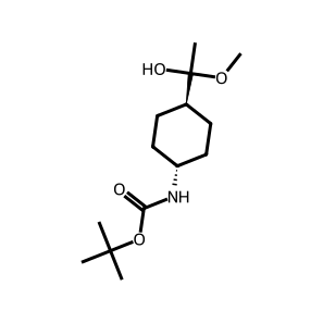 COC(C)(O)[C@H]1CC[C@H](NC(=O)OC(C)(C)C)CC1